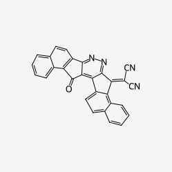 N#CC(C#N)=C1c2nnc3c(c2-c2ccc4ccccc4c21)C(=O)c1c-3ccc2ccccc12